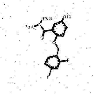 CCCCCN(CCCCC)C(=O)c1cc(C=O)ccc1OCc1ccc(F)cc1F